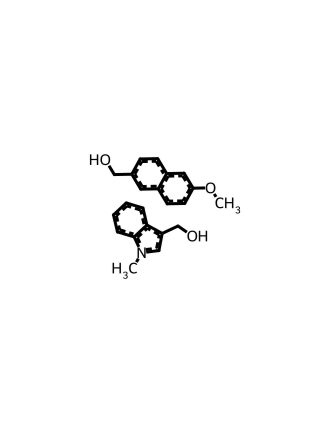 COc1ccc2cc(CO)ccc2c1.Cn1cc(CO)c2ccccc21